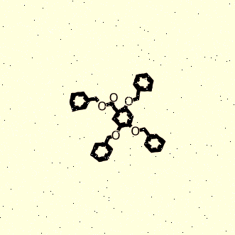 O=C(OCc1ccccc1)c1cc(OCc2ccccc2)c(OCc2ccccc2)cc1OCc1ccccc1